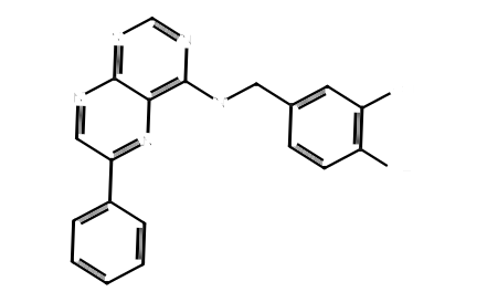 Oc1ccc(CNc2ncnc3ncc(-c4ccccc4)nc23)cc1O